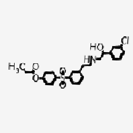 CCC(=O)Oc1ccc(S(=O)(=O)c2cccc(CCNC[C@@H](O)c3cccc(Cl)c3)c2)cc1